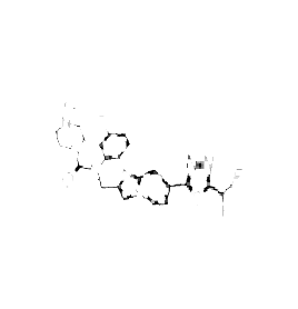 CC(C)N1CCN(C(=O)N(Cc2cn3ccc(-c4nnc(C(F)F)o4)cc3n2)c2cccc(F)c2)CC1